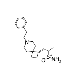 CC(C=C1CCC12CCN(CCc1ccccc1)CC2)[S+](N)[O-]